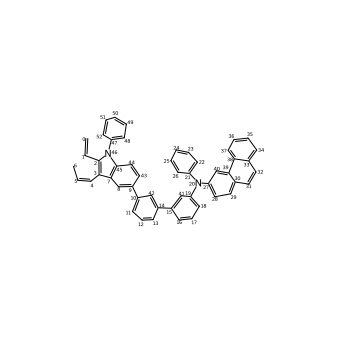 C=Cc1c(/C=C\C)c2cc(-c3cccc(-c4cccc(N(c5ccccc5)c5ccc6ccc7ccccc7c6c5)c4)c3)ccc2n1-c1ccccc1